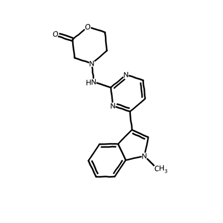 Cn1cc(-c2ccnc(NN3CCOC(=O)C3)n2)c2ccccc21